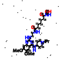 COc1cc2nc(NCCNC(=O)CCCCCC(=O)NO)nc(NC3CCN(C(C)C)CC3)c2cc1OC